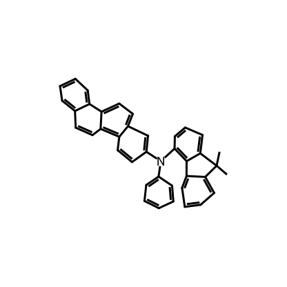 CC1(C)c2ccccc2-c2c(N(c3ccccc3)c3ccc4c(ccc5c6ccccc6ccc45)c3)cccc21